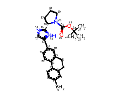 Bc1ccc2c(c1)CCc1cc(-c3cnc([C@@H]4CCCN4C(=O)OC(C)(C)C)[nH]3)ccc1-2